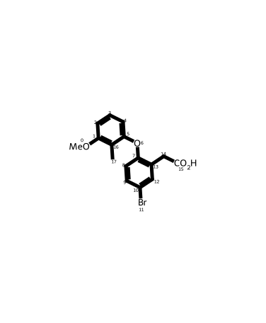 COc1cccc(Oc2ccc(Br)cc2CC(=O)O)c1C